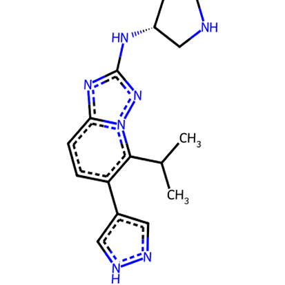 CC(C)c1c(-c2cn[nH]c2)ccc2nc(N[C@@H]3CCNC3)nn12